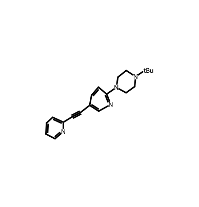 CC(C)(C)N1CCN(c2ccc(C#Cc3ccccn3)cn2)CC1